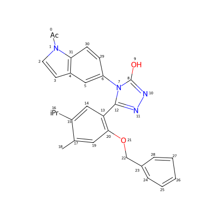 CC(=O)n1ccc2cc(-n3c(O)nnc3-c3cc(C(C)C)c(C)cc3OCc3ccccc3)ccc21